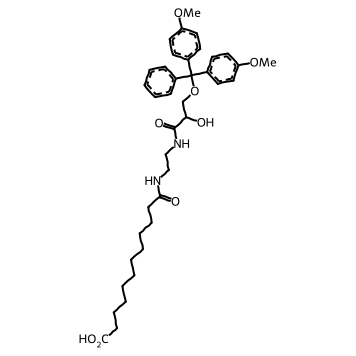 COc1ccc(C(OCC(O)C(=O)NCCNC(=O)CCCCCCCCCCC(=O)O)(c2ccccc2)c2ccc(OC)cc2)cc1